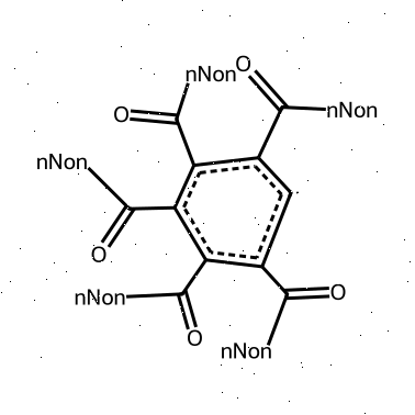 CCCCCCCCCC(=O)c1[c]c(C(=O)CCCCCCCCC)c(C(=O)CCCCCCCCC)c(C(=O)CCCCCCCCC)c1C(=O)CCCCCCCCC